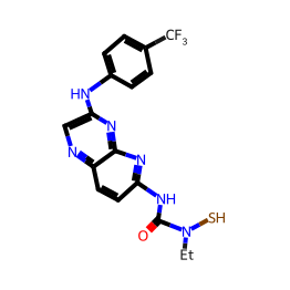 CCN(S)C(=O)Nc1ccc2ncc(Nc3ccc(C(F)(F)F)cc3)nc2n1